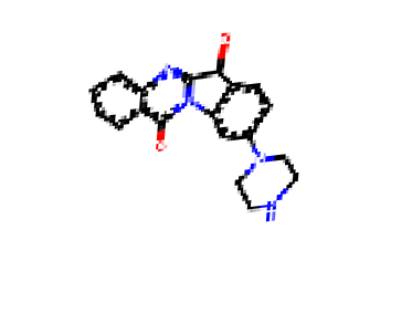 O=C1c2ccc(N3CCNCC3)cc2-n2c1nc1ccccc1c2=O